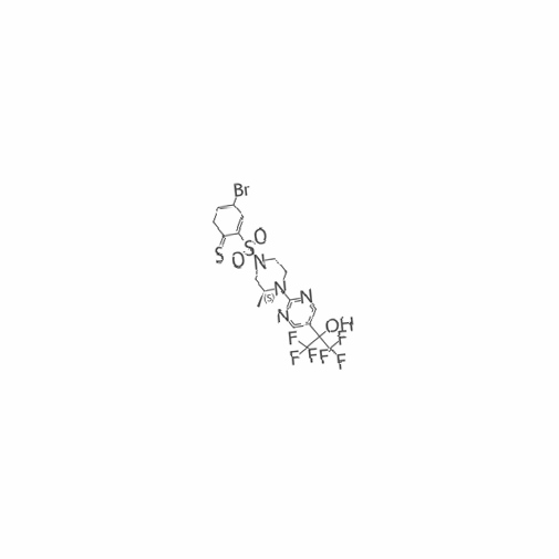 C[C@H]1CN(S(=O)(=O)C2=CC(Br)=CCC2=S)CCN1c1ncc(C(O)(C(F)(F)F)C(F)(F)F)cn1